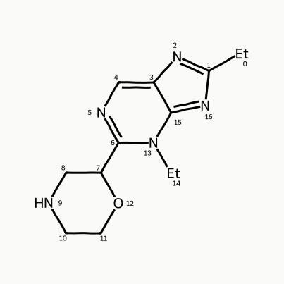 CCc1nc2cnc(C3CNCCO3)n(CC)c-2n1